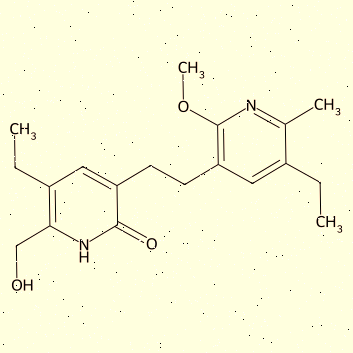 CCc1cc(CCc2cc(CC)c(CO)[nH]c2=O)c(OC)nc1C